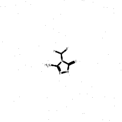 CC1=N[N]C(=O)N1C(F)F